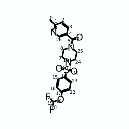 Cc1ccc(C(=O)N2CCN(S(=O)(=O)c3ccc(OC(F)F)cc3)CC2)cn1